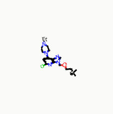 CCN1CCN(c2cc(Cl)nc3c2ncn3COCC[Si](C)(C)C)CC1